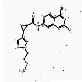 COCCn1cc(C2CC2C(=O)Nc2cc3cc(Cl)nc(N)c3cn2)cn1